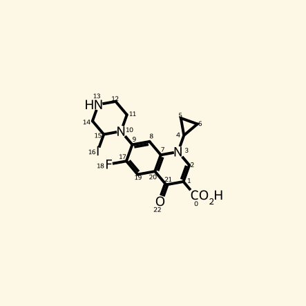 O=C(O)c1cn(C2CC2)c2cc(N3CCNCC3I)c(F)cc2c1=O